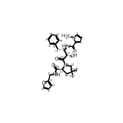 Cn1cccc1C(=O)N[C@@H](Cc1ccccc1)[C@H](O)C(=O)N1CC(F)(F)C[C@H]1C(=O)NCc1ccco1